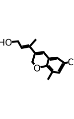 CC(=CCO)C1=Cc2cc(Cl)cc(C)c2OC1